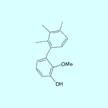 COc1c(O)cccc1-c1ccc(C)c(C)c1C